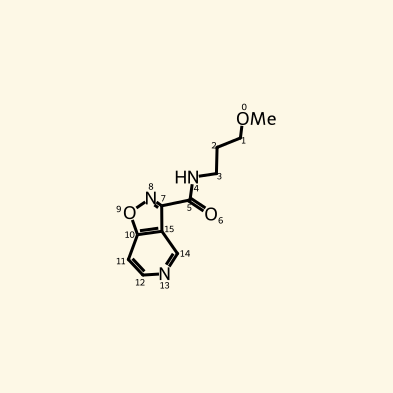 COCCCNC(=O)c1noc2ccncc12